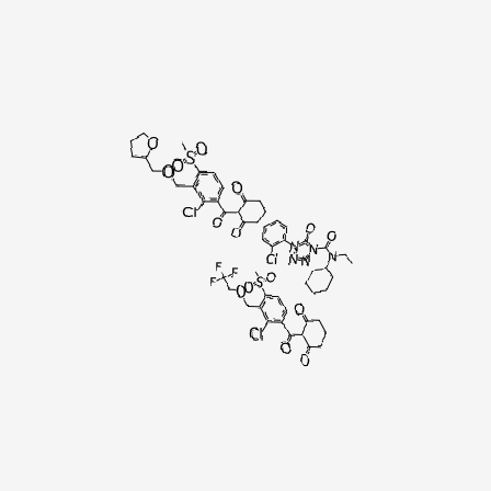 CCN(C(=O)n1nnn(-c2ccccc2Cl)c1=O)C1CCCCC1.CS(=O)(=O)c1ccc(C(=O)C2C(=O)CCCC2=O)c(Cl)c1COCC(F)(F)F.CS(=O)(=O)c1ccc(C(=O)C2C(=O)CCCC2=O)c(Cl)c1COCC1CCCO1